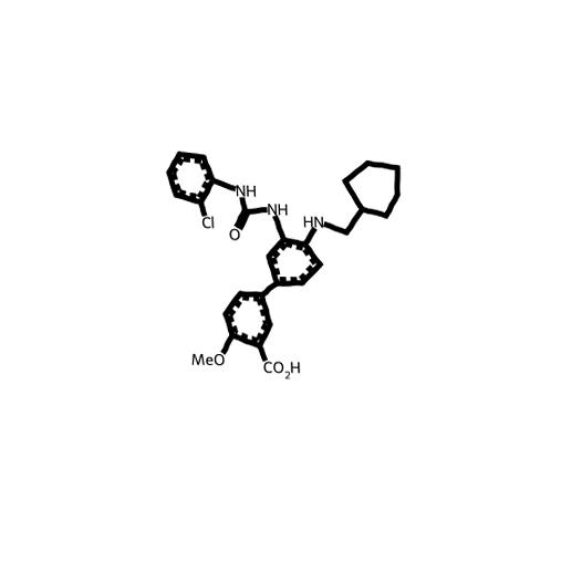 COc1ccc(-c2ccc(NCC3CCCCC3)c(NC(=O)Nc3ccccc3Cl)c2)cc1C(=O)O